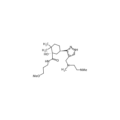 CNCCN(C)Cc1c[nH]nc1[C@@H]1CCC(C)(C)[C@](O)(C(=O)NCCCOC)C1